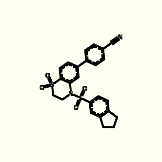 N#Cc1ccc(-c2ccc3c(c2)N(S(=O)(=O)c2ccc4c(c2)CCC4)CCS3(=O)=O)cc1